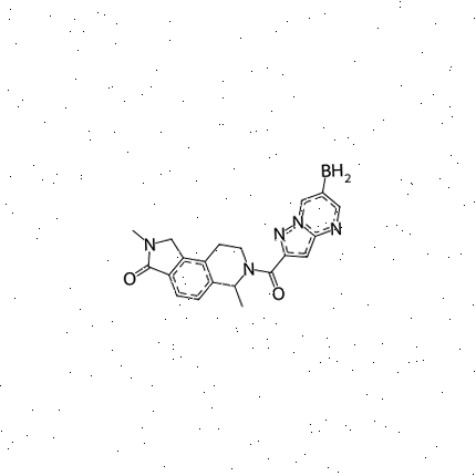 Bc1cnc2cc(C(=O)N3CCc4c(ccc5c4CN(C)C5=O)C3C)nn2c1